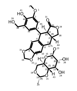 COc1cc(C2c3cc4c(cc3[C@@H](O[C@@H]3O[C@@H]5CO[C@@H](C)O[C@H]5[C@H](O)[C@H]3O)[C@H]3COC(=O)[C@H]23)OCO4)cc(CO)c1O